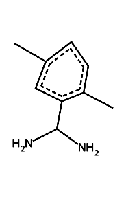 Cc1ccc(C)c(C(N)N)c1